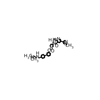 CN(C)CCNCc1ccc(-c2cccc(OC(=O)N3CC[C@@H](NC(=O)c4cc(-c5cnn(C)c5)cnc4N)C3)c2)cc1